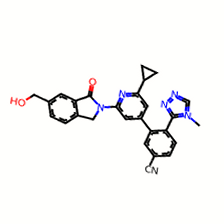 Cn1cnnc1-c1ccc(C#N)cc1-c1cc(C2CC2)nc(N2Cc3ccc(CO)cc3C2=O)c1